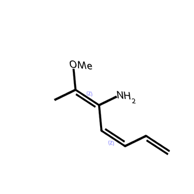 C=C/C=C\C(N)=C(/C)OC